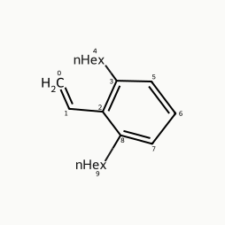 C=Cc1c(CCCCCC)cccc1CCCCCC